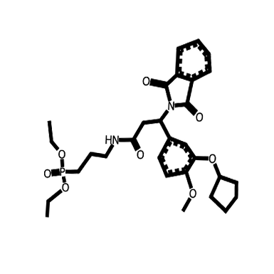 CCOP(=O)(CCCNC(=O)CC(c1ccc(OC)c(OC2CCCC2)c1)N1C(=O)c2ccccc2C1=O)OCC